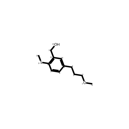 COCCCc1ccc(SC)c(CO)c1